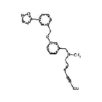 CN(CC=CC#CC(C)(C)C)Cc1cccc(OCc2cccc(-c3ccno3)c2)c1